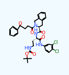 CC(C)(C)OC(=O)NCC[C@H](NC(=O)[C@@H]1Cc2ccccc2CN1C(=O)CCC(=O)c1ccccc1)C(=O)Nc1ccc(Cl)c(Cl)c1